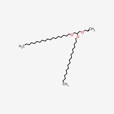 C=CCOCC(COCCCCCCCCCCCCCCCCCC)OCCCCCCCCCCCCCCCCCC